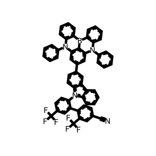 N#Cc1ccc(-c2cc(C(F)(F)F)ccc2-n2c3ccccc3c3cc(-c4cc5c6c(c4)N(c4ccccc4)c4ccccc4B6c4ccccc4N5c4ccccc4)ccc32)c(C(F)(F)F)c1